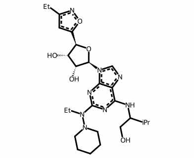 CCc1cc([C@H]2O[C@@H](n3cnc4c(NC(CO)C(C)C)nc(N(CC)N5CCCCC5)nc43)[C@H](O)[C@@H]2O)on1